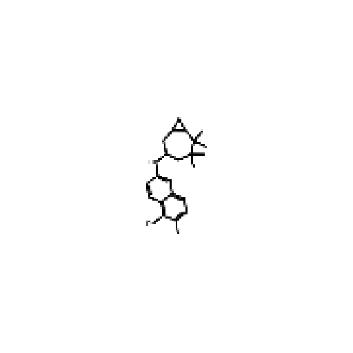 Cc1ccc2cc(BC3CC4CC4C(C)(C)C(C)(C)C3)ccc2c1C(C)C